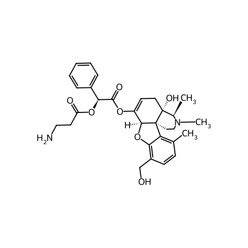 Cc1ccc(CO)c2c1[C@]13CCN(C)[C@H](C)[C@]1(O)CC=C(OC(=O)[C@@H](OC(=O)CCN)c1ccccc1)[C@@H]3O2